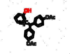 CC(=O)Oc1ccc(C(C)c2ccc(OC(C)=O)cc2)cc1.Oc1ccccc1